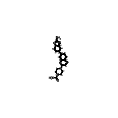 CC(=O)N1CCN(c2cnc3ccc(-c4ccc5oc(N)nc5c4)cc3n2)CC1